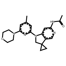 CC(=O)Nc1cc2c(cn1)C1(CC1)CN2c1cc(C)cc(N2CCOCC2)n1